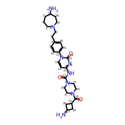 NC1CCCN(CCc2ccc(-n3ccc(NC(=O)N4CCN(C(=O)C5CC(N)C5)CC4)nc3=O)cc2)CC1